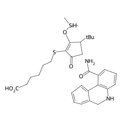 C[SiH](C)OC1=C(SCCCCCC(=O)O)C(=O)CC1C(C)(C)C.NC(=O)c1cccc2c1-c1ccccc1CN2